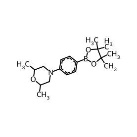 CC1CN(c2ccc(B3OC(C)(C)C(C)(C)O3)cc2)CC(C)O1